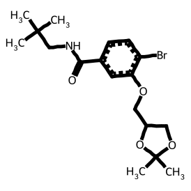 CC(C)(C)CNC(=O)c1ccc(Br)c(OCC2COC(C)(C)O2)c1